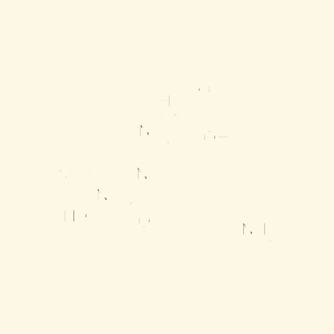 CC(=O)O.Cn1c(=O)cc(N)n(Cc2cccc(N)c2)c1=O